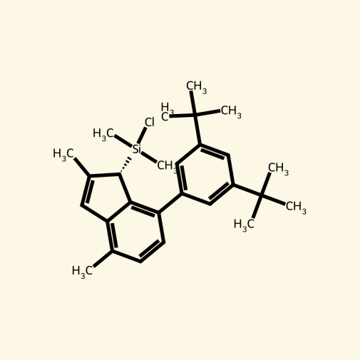 CC1=Cc2c(C)ccc(-c3cc(C(C)(C)C)cc(C(C)(C)C)c3)c2[C@H]1[Si](C)(C)Cl